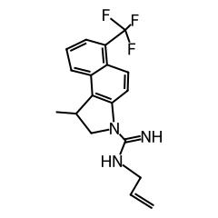 C=CCNC(=N)N1CC(C)c2c1ccc1c(C(F)(F)F)cccc21